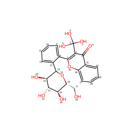 O=c1c(C(O)(O)O)c(-c2ccccc2C2O[C@H](CO)[C@@H](O)[C@H](O)[C@H]2O)oc2ccccc12